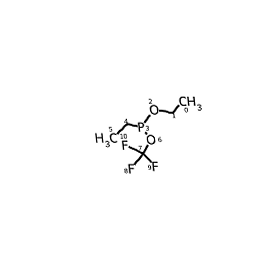 CCOP(CC)OC(F)(F)F